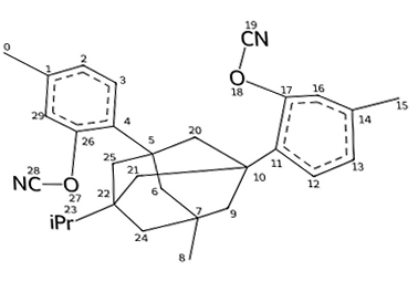 Cc1ccc(C23CC4(C)CC(c5ccc(C)cc5OC#N)(C2)CC(C(C)C)(C4)C3)c(OC#N)c1